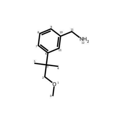 COCC(C)(C)c1cccc(CN)c1